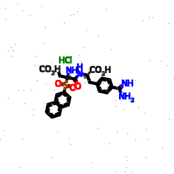 Cl.N=C(N)c1ccc(C[C@H](NC(=O)[C@@](N)(CC(=O)O)S(=O)(=O)c2ccc3ccccc3c2)C(=O)O)cc1